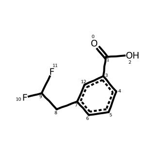 O=C(O)c1cccc(CC(F)F)c1